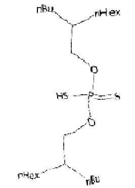 CCCCCCC(CCCC)COP(=S)(S)OCC(CCCC)CCCCCC